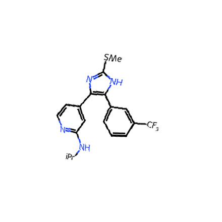 CSc1nc(-c2ccnc(NC(C)C)c2)c(-c2cccc(C(F)(F)F)c2)[nH]1